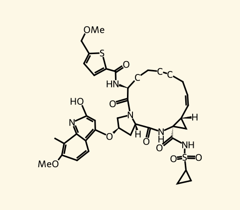 COCc1ccc(C(=O)N[C@H]2CCCCC/C=C\[C@@H]3C[C@@]3(C(=O)NS(=O)(=O)C3CC3)NC(=O)[C@@H]3C[C@@H](Oc4cc(O)nc5c(C)c(OC)ccc45)CN3C2=O)s1